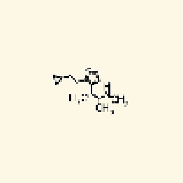 CN[C@H](C)[C@H](C)c1ccsc1CCC1CC1